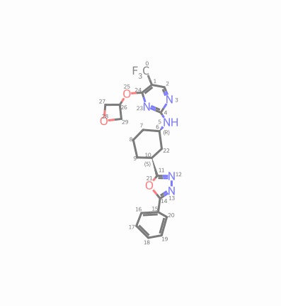 FC(F)(F)c1cnc(N[C@@H]2CCC[C@H](c3nnc(-c4ccccc4)o3)C2)nc1OC1COC1